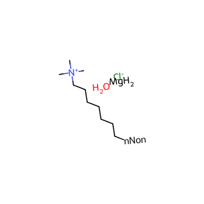 CCCCCCCCCCCCCCCC[N+](C)(C)C.O.[Cl-].[MgH2]